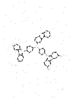 Cc1ccc2c(c1)c1cc(C)ccc1n2-c1ccc(N(c2ccc(-n3c4ccc(C(C)(C)C)cc4c4cc(C(C)(C)C)ccc43)cc2)c2ccc3sc4ccccc4c3c2)cc1